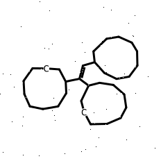 C(=C(C1CCCCCCCCC1)C1CCCCCCCCC1)C1CCCCCCCCC1